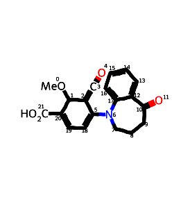 COC1C(=C=O)C(N2CCCC(=O)c3ccccc32)=CC=C1C(=O)O